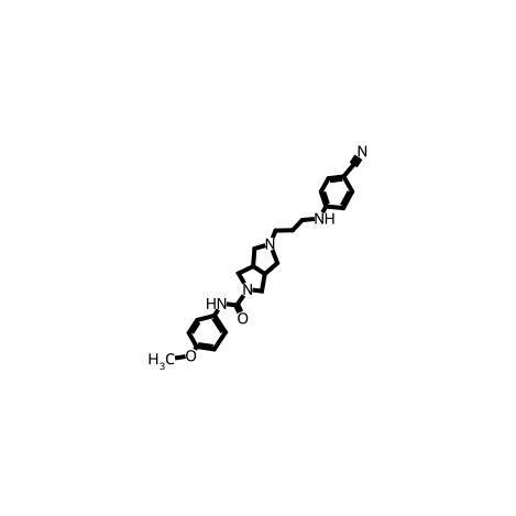 COc1ccc(NC(=O)N2CC3CN(CCCNc4ccc(C#N)cc4)CC3C2)cc1